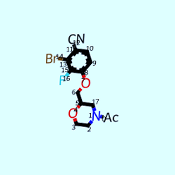 CC(=O)N1CCOC(COc2ccc(C#N)c(Br)c2F)C1